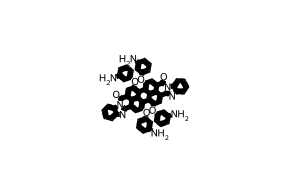 Nc1cccc(Oc2cc3c(=O)n4c5ccccc5nc4c4cc(Oc5cccc(N)c5)c5c6c(Oc7cccc(N)c7)cc7c8c(cc(Oc9cccc(N)c9)c(c2c5c34)c68)c(=O)n2c3ccccc3nc72)c1